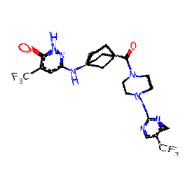 O=c1[nH]nc(N[C@]23CC[C@](C(=O)N4CCN(c5ncc(C(F)(F)F)cn5)CC4)(C2)C3)cc1C(F)(F)F